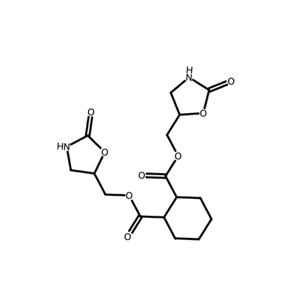 O=C1NCC(COC(=O)C2CCCCC2C(=O)OCC2CNC(=O)O2)O1